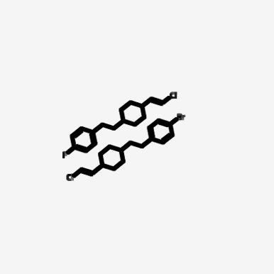 Cl/C=C/C1CCC(CCc2ccc(Br)cc2)CC1.Fc1ccc(CCC2CCC(/C=C/Cl)CC2)cc1